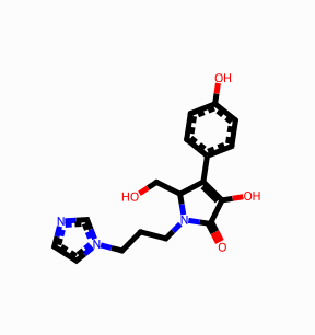 O=C1C(O)=C(c2ccc(O)cc2)C(CO)N1CCCn1ccnc1